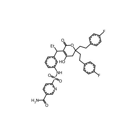 CCC(C1=C(O)CC(CCc2ccc(F)cc2)(CCc2ccc(F)cc2)OC1=O)c1cccc(NS(=O)(=O)c2ccc(C(N)=O)cn2)c1